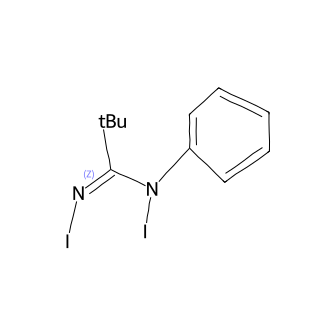 CC(C)(C)/C(=N/I)N(I)c1ccccc1